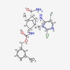 NC(=O)[C@H]1[C@H]2C[C@@H]([C@H]1Nc1nc(Cl)ncc1F)[C@H](NC(=O)OCc1cccc([N+](=O)[O-])c1)C2